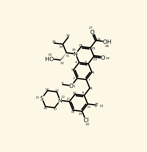 COc1cc2c(cc1Cc1cc(N3CCSCC3)cc(Cl)c1F)c(=O)c(C(=O)O)cn2[C@H](CO)C(C)C